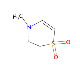 CN1C=CS(=O)(=O)CC1